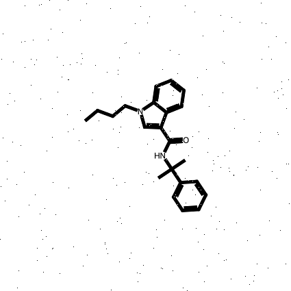 CCCCn1cc(C(=O)NC(C)(C)c2ccccc2)c2ccccc21